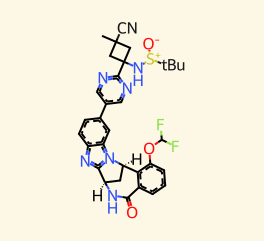 CC1(C#N)CC(N[S+]([O-])C(C)(C)C)(c2ncc(-c3ccc4nc5n(c4c3)[C@@H]3C[C@H]5NC(=O)c4cccc(OC(F)F)c43)cn2)C1